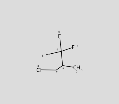 CC(CCl)C(F)(F)F